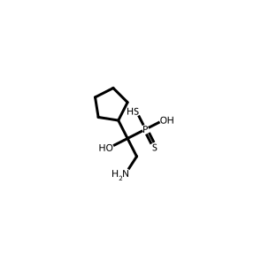 NCC(O)(C1CCCC1)P(O)(=S)S